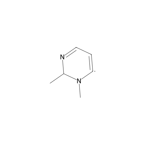 CC1N=CC=[C]N1C